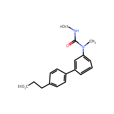 CCCCCCCCNC(=O)N(C)c1cccc(-c2ccc(CCC(=O)OCC)cc2)c1